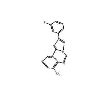 Fc1cccc(-c2nc3c4cccc(C(F)(F)F)c4ncn3n2)c1